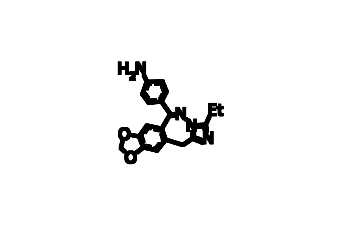 CCc1ncc2n1N=C(c1ccc(N)cc1)c1cc3c(cc1C2)OCO3